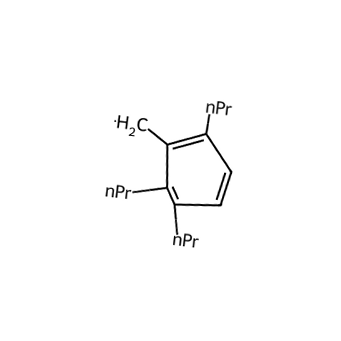 [CH2]c1c(CCC)ccc(CCC)c1CCC